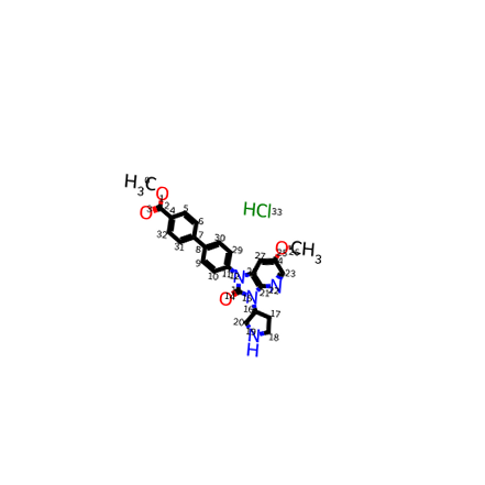 COC(=O)c1ccc(-c2ccc(-n3c(=O)n(C4CCNC4)c4ncc(OC)cc43)cc2)cc1.Cl